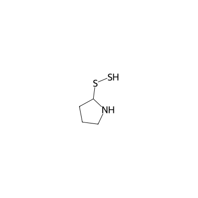 SSC1CCCN1